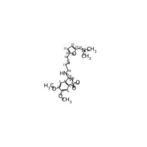 COc1cc2c(cc1OC)S(=O)(=O)N=C2NCCSCc1ccc(CN(C)C)o1